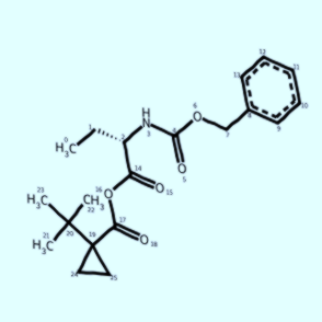 CC[C@H](NC(=O)OCc1ccccc1)C(=O)OC(=O)C1(C(C)(C)C)CC1